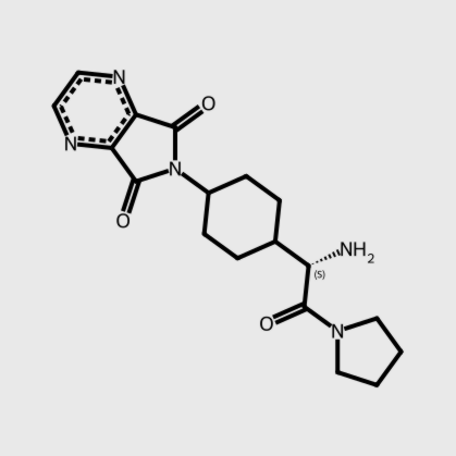 N[C@H](C(=O)N1CCCC1)C1CCC(N2C(=O)c3nccnc3C2=O)CC1